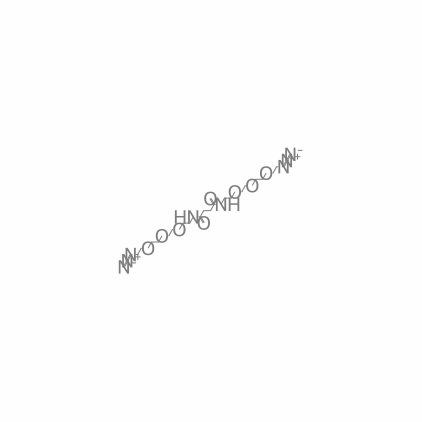 [N-]=[N+]=NCCOCCOCCOCCNC(=O)CCC(=O)NCCOCCOCCOCCN=[N+]=[N-]